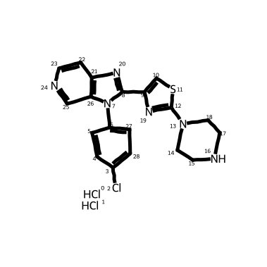 Cl.Cl.Clc1ccc(-n2c(-c3csc(N4CCNCC4)n3)nc3ccncc32)cc1